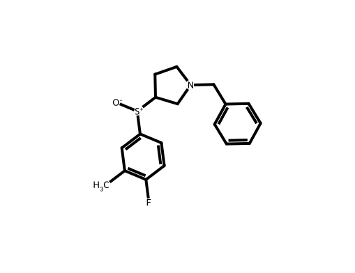 Cc1cc([S+]([O-])C2CCN(Cc3ccccc3)C2)ccc1F